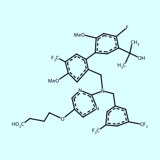 COc1cc(F)c(C(C)(C)O)cc1-c1cc(C(F)(F)F)c(OC)cc1CN(Cc1cc(C(F)(F)F)cc(C(F)(F)F)c1)c1ncc(OCCCC(=O)O)cn1